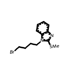 CSc1nc2ccccc2n1CCCCBr